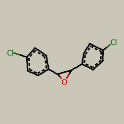 Clc1ccc(C2OC2c2ccc(Cl)cc2)cc1